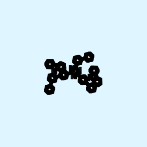 c1ccc(-c2cccc(-c3nc(-c4ccc(-c5cc(-c6ccccc6)ccc5-n5c6ccccc6c6ccccc65)cc4)nc(-c4ccc(-c5ccccc5)c(-n5c6ccccc6c6ccccc65)c4)n3)c2)cc1